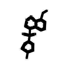 CCc1cccc2c(S(=O)(=O)c3ccc(C)cc3)cnnc12